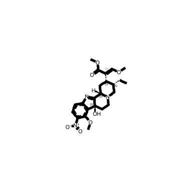 CC[C@@H]1CN2CC[C@@]3(O)C(=Nc4ccc([N+](=O)[O-])c(OC)c43)[C@@H]2C[C@@H]1/C(=C\OC)C(=O)OC